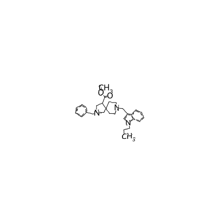 CCCn1cc(CN2CCC3(CC2)CN(Cc2ccccc2)CC3C(=O)OC)c2ccccc21